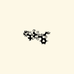 CC1(C)S[C@H]2C(NC(=O)C(NC(=O)CBr)c3ccccc3)C(=O)N2C1c1nnn[nH]1